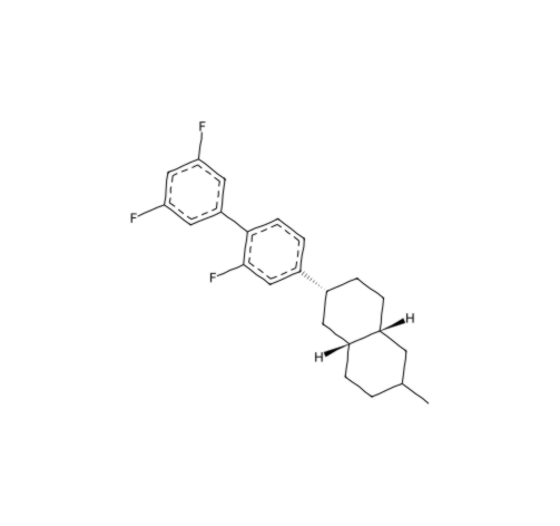 CC1CC[C@@H]2C[C@H](c3ccc(-c4cc(F)cc(F)c4)c(F)c3)CC[C@@H]2C1